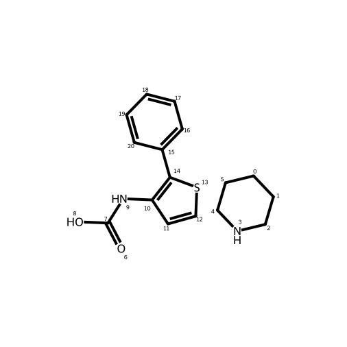 C1CCNCC1.O=C(O)Nc1ccsc1-c1ccccc1